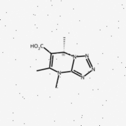 CC1=C(C(=O)O)[C@H](C)n2nnnc2N1C